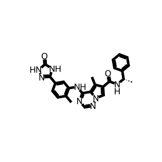 Cc1ccc(-c2n[nH]c(=O)[nH]2)cc1Nc1ncnn2cc(C(=O)N[C@@H](C)c3ccccc3)c(C)c12